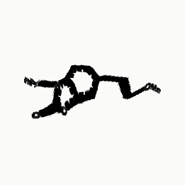 [CH2]CCn1c(=O)oc2cc(C=COC)ccc21